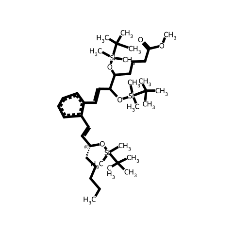 CCCCC[C@H](C=Cc1ccccc1C=CC(O[Si](C)(C)C(C)(C)C)C(CCCC(=O)OC)O[Si](C)(C)C(C)(C)C)O[Si](C)(C)C(C)(C)C